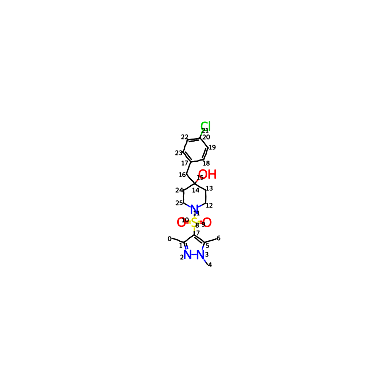 Cc1nn(C)c(C)c1S(=O)(=O)N1CCC(O)(Cc2ccc(Cl)cc2)CC1